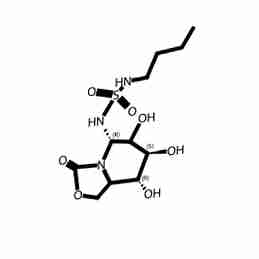 CCCCNS(=O)(=O)N[C@@H]1C(O)[C@@H](O)[C@H](O)C2COC(=O)N21